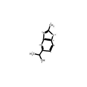 Cc1nc2nc(C(C)O)ccc2s1